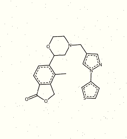 Cc1c(C2CN(Cc3cnn(-c4ccsc4)c3)CCO2)ccc2c1COC2=O